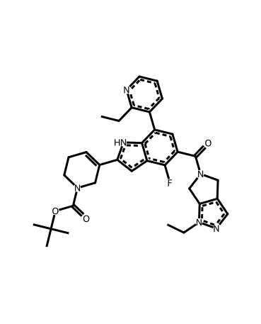 CCc1ncccc1-c1cc(C(=O)N2Cc3cnn(CC)c3C2)c(F)c2cc(C3=CCCN(C(=O)OC(C)(C)C)C3)[nH]c12